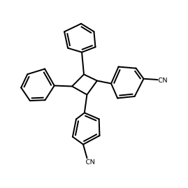 N#Cc1ccc(C2C(c3ccccc3)C(c3ccccc3)C2c2ccc(C#N)cc2)cc1